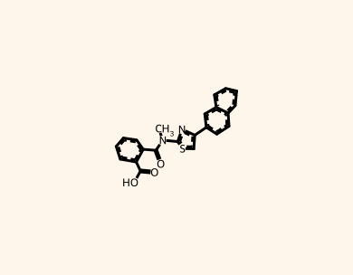 CN(C(=O)c1ccccc1C(=O)O)c1nc(-c2ccc3ccccc3c2)cs1